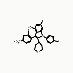 O=C(O)c1ccc(-c2c(C3CCOCC3)n(-c3ccc(F)cc3)c3cc(F)cc(O)c23)c(F)c1